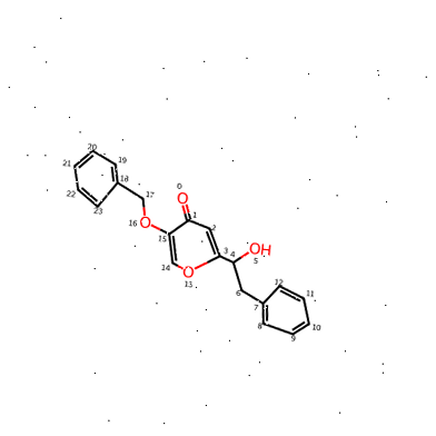 O=c1cc(C(O)Cc2ccccc2)occ1OCc1ccccc1